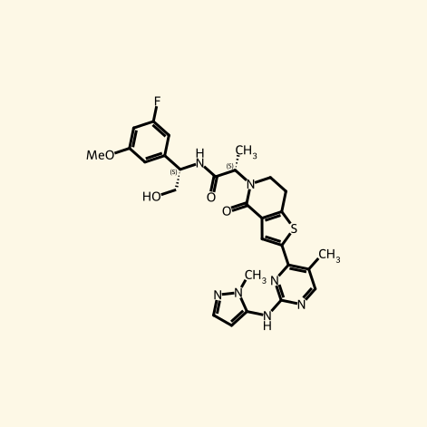 COc1cc(F)cc([C@@H](CO)NC(=O)[C@H](C)N2CCc3sc(-c4nc(Nc5ccnn5C)ncc4C)cc3C2=O)c1